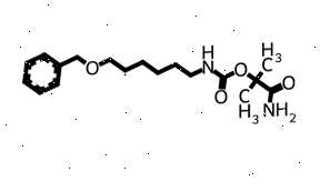 CC(C)(OC(=O)NCCCC[CH]COCc1ccccc1)C(N)=O